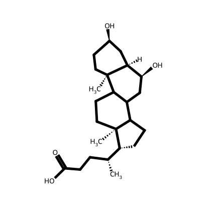 C[C@H](CCC(=O)O)[C@H]1CCC2C3C[C@H](O)[C@@H]4C[C@H](O)CC[C@]4(C)C3CC[C@@]21C